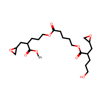 CC(C)OC(=O)C(CCCOC(=O)CCCCOC(=O)C(CCCO)CC1CO1)CC1CO1